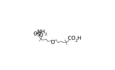 CC(C)(CCCCOCCCCC(C)(C)CS(N)(=O)=O)CC(=O)O